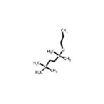 CCCO[Si](C)(C)CC[Si](C)(C)C